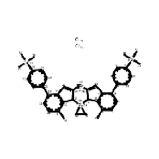 Cc1ccc(-c2ccc([Si](C)(C)C)cc2)c2c1[CH]([Zr+2]1([CH]3C(C(C)C)=Cc4c(-c5ccc([Si](C)(C)C)cc5)ccc(C)c43)[CH2][CH2]1)C(C(C)C)=C2.[Cl-].[Cl-]